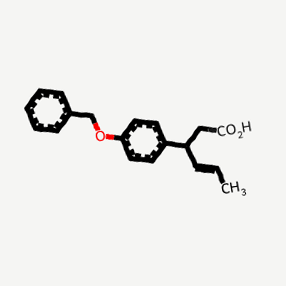 CC=CC(CC(=O)O)c1ccc(OCc2ccccc2)cc1